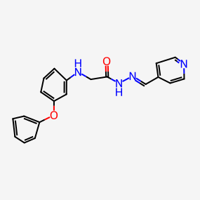 O=C(CNc1cccc(Oc2ccccc2)c1)N/N=C/c1ccncc1